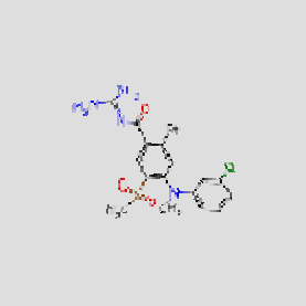 CCc1cc(N(C)c2cccc(Cl)c2)c(S(C)(=O)=O)cc1C(=O)N=C(N)N